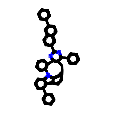 c1ccc(-c2ccc3cc(-c4nc(-c5ccccc5)c5c(n4)-c4ccccc4-n4c6cc(ccc6c6c(-c7ccccc7)cccc64)C5)ccc3c2)cc1